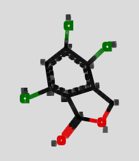 O=C1OCc2c(Cl)c(Cl)cc(Cl)c21